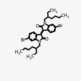 CCCCC(CC)CN1C(=O)C(=C2C(=O)N(CC(CC)CCCC)c3cc(Br)ccc32)c2ccc(Br)cc21